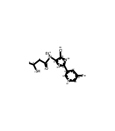 CCN(C(=O)CC(C)S)c1sc(-c2cncc(F)c2)nc1Cl